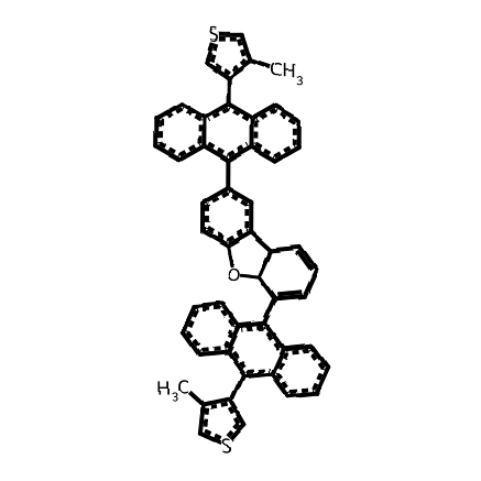 Cc1cscc1-c1c2ccccc2c(C2=CC=CC3c4cc(-c5c6ccccc6c(-c6cscc6C)c6ccccc56)ccc4OC23)c2ccccc12